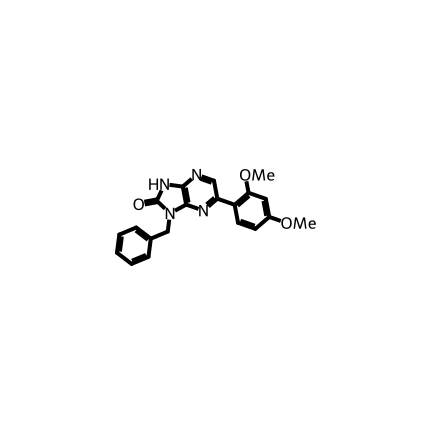 COc1ccc(-c2cnc3[nH]c(=O)n(Cc4ccccc4)c3n2)c(OC)c1